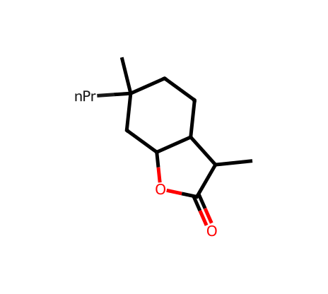 CCCC1(C)CCC2C(C1)OC(=O)C2C